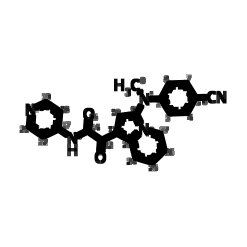 CN(c1ccc(C#N)cc1)c1cc(C(=O)C(=O)Nc2ccncc2)c2ccccn12